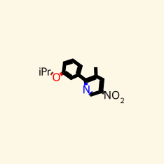 Cc1cc([N+](=O)[O-])cnc1-c1cccc(OC(C)C)c1